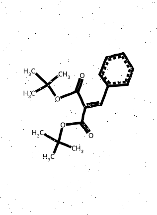 CC(C)(C)OC(=O)C(=Cc1ccccc1)C(=O)OC(C)(C)C